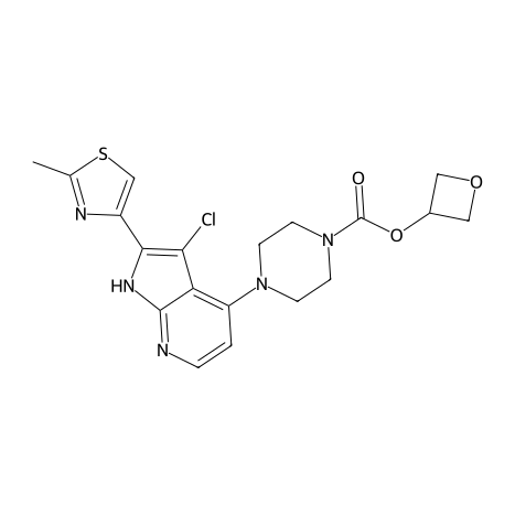 Cc1nc(-c2[nH]c3nccc(N4CCN(C(=O)OC5COC5)CC4)c3c2Cl)cs1